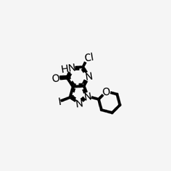 O=c1[nH]c(Cl)nc2c1c(I)nn2C1CCCCO1